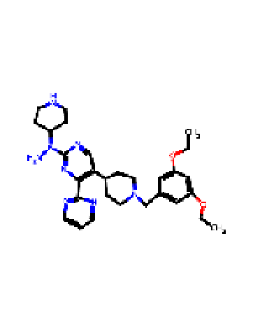 CCOc1cc(CN2CCC(c3cnc(N(N)C4CCNCC4)nc3-c3ncccn3)CC2)cc(OCC)c1